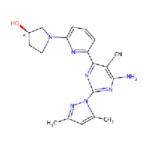 Cc1cc(C)n(-c2nc(N)c(C#N)c(-c3cccc(N4CC[C@@H](O)C4)n3)n2)n1